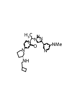 CNc1cncc(-c2cn(C(C)n3ccc(N4CCC[C@@H](NCC5CCC5)C4)cc3=O)nn2)c1